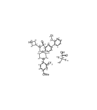 CCOc1ncccc1-c1ccc2c(n1)C(=O)N(C1CNC1)CC21CCN(c2ccc(OC)nc2C(F)(F)F)CC1.O=C(O)C(F)(F)F